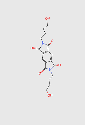 O=c1c2cc3c(=O)n(CCCCO)c(=O)c3cc2c(=O)n1CCCCO